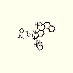 CN(C)[C@@H]1CC[C@@H]1COc1nc(N2CC3CCC(C2)N3)c2ccc(-c3c(O)ccc4ccccc34)c(F)c2n1